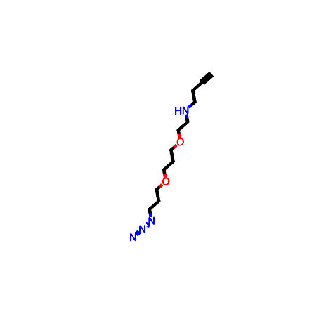 C#CCCNCCOCCCOCCCN=[N+]=[N-]